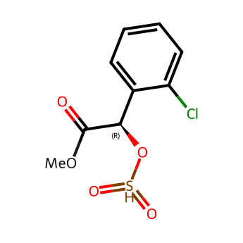 COC(=O)[C@H](O[SH](=O)=O)c1ccccc1Cl